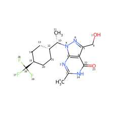 Cc1nc2c(c(CO)nn2[C@@H](C)[C@H]2CC[C@H](C(F)(F)F)CC2)c(=O)[nH]1